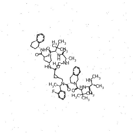 CN[C@@H](C)C(=O)NC(C(=O)N1Cc2ccccc2C[C@H]1C(=O)N(CC1CC1C(=O)N[C@H]1CC(C(=O)N[C@@H]2CCCc3ccccc32)N(C(=O)[C@@H](NC(=O)[C@H](C)NC)C(C)(C)C)C1)[C@H](C)c1ccccc1F)C(C)(C)C